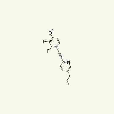 CCCc1ccc(C#Cc2ccc(OC)c(F)c2F)nc1